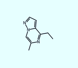 CCc1nc(C)cn2nccc12